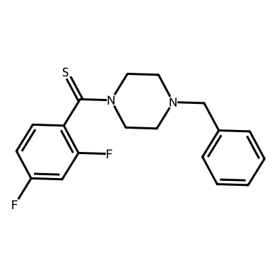 Fc1ccc(C(=S)N2CCN(Cc3ccccc3)CC2)c(F)c1